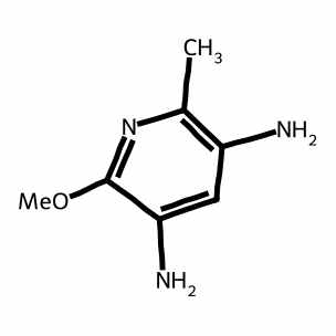 COc1nc(C)c(N)cc1N